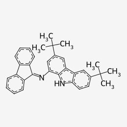 CC(C)(C)c1ccc2[nH]c3c(N=C4c5ccccc5-c5ccccc54)cc(C(C)(C)C)cc3c2c1